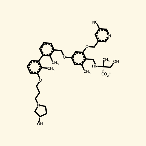 Cc1cc(OCc2cccc(-c3cccc(OCCCN4CC[C@@H](O)C4)c3C)c2C)cc(OCc2cncc(C#N)c2)c1CN[C@@](C)(CO)C(=O)O